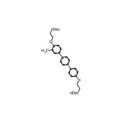 CCCCCCCCCCCCOc1ccc(-c2ccc(-c3ccc(OCCCCCCCCCCCC)c(C)c3)cc2)cc1